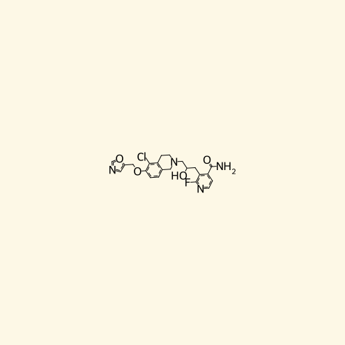 NC(=O)c1ccnc(F)c1CC(O)CN1CCc2c(ccc(OCc3cnco3)c2Cl)C1